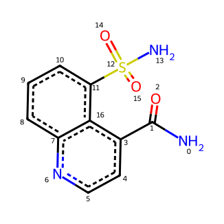 NC(=O)c1ccnc2cccc(S(N)(=O)=O)c12